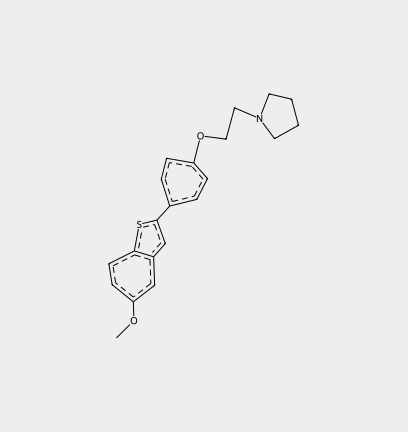 COc1ccc2sc(-c3ccc(OCCN4CCCC4)cc3)cc2c1